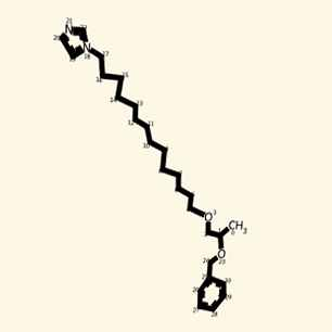 CC(COCCCCCCCCCCCCCCn1ccnc1)OCc1ccccc1